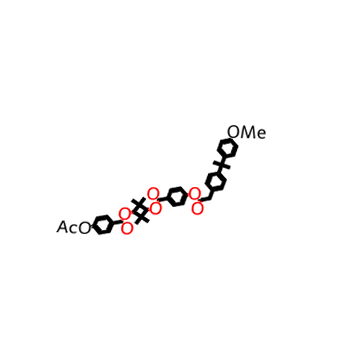 COc1ccc(C(C)(C)c2ccc(CC(=O)Oc3ccc(C(=O)OC4C(C)(C)C(OC(=O)c5ccc(OC(C)=O)cc5)C4(C)C)cc3)cc2)cc1